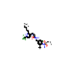 C#Cc1cc(CNC(=O)/C=C\c2ccc(C(F)(F)F)nc2CCCCC)cc(F)c1NS(C)(=O)=O